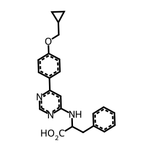 O=C(O)C(Cc1ccccc1)Nc1cc(-c2ccc(OCC3CC3)cc2)ncn1